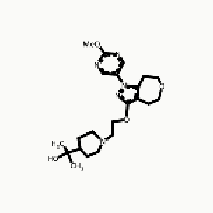 COc1ncc(-n2nc(OCCN3CCC(C(C)(C)O)CC3)c3c2CCOCC3)cn1